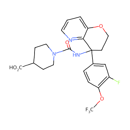 O=C(O)C1CCN(C(=O)NC2(c3ccc(OC(F)(F)F)c(F)c3)CCOc3cccnc32)CC1